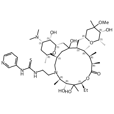 CC[C@@H]1OC(=O)[C@H](C)[C@H](C)[C@@H](C)[C@H](C[C@@H]2CC(C)(OC)[C@H](O)[C@H](C)O2)C(O)(C[C@@H]2O[C@H](C)C[C@H](N(C)C)[C@@H]2O)C[C@H](C)CN(CCNC(=S)Nc2cccnc2)[C@H](C)[C@@H](O)C1(C)O